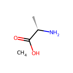 C.C[C@H](N)C(=O)O